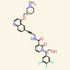 CN1CCC[C@@H](COc2ccnc3ccc(C#CCNC(=O)c4cccn([C@@H](CO)c5cc(F)c(F)c(F)c5)c4=O)cc23)C1